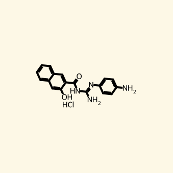 Cl.NC(=Nc1ccc(N)cc1)NC(=O)c1cc2ccccc2cc1O